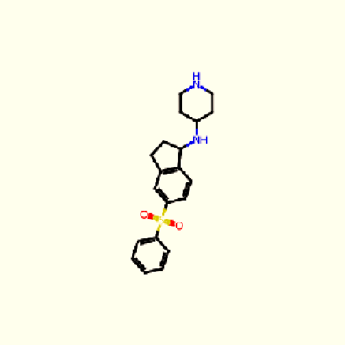 O=S(=O)(c1ccccc1)c1ccc2c(c1)CCC2NC1CCNCC1